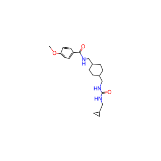 COc1ccc(C(=O)NCC2CCC(CNC(=O)NCC3CC3)CC2)cc1